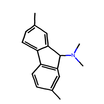 Cc1ccc2c(c1)C(N(C)C)c1cc(C)ccc1-2